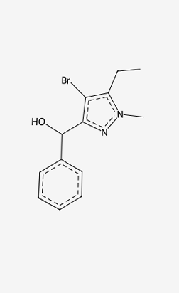 CCc1c(Br)c(C(O)c2ccccc2)nn1C